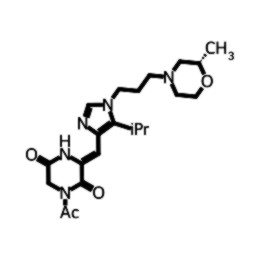 CC(=O)N1CC(=O)N/C(=C\c2ncn(CCCN3CCO[C@@H](C)C3)c2C(C)C)C1=O